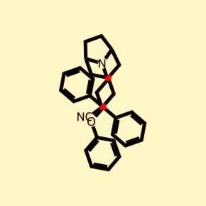 N#CC(CC1CC2CCC(C1)N2CCCOc1ccccc1)(c1ccccc1)c1ccccc1